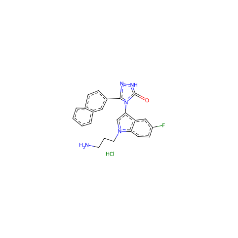 Cl.NCCCn1cc(-n2c(-c3ccc4ccccc4c3)n[nH]c2=O)c2cc(F)ccc21